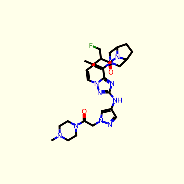 CCC(CF)C(=O)N1C2CCC1CN(c1cccn3nc(Nc4cnn(CC(=O)N5CCN(C)CC5)c4)nc13)C2